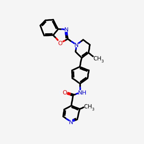 CC1=C(c2ccc(NC(=O)c3ccncc3C)cc2)CN(c2nc3ccccc3o2)CC1